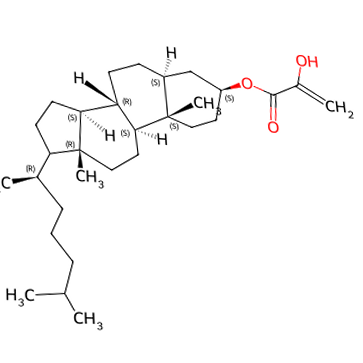 C=C(O)C(=O)O[C@H]1CC[C@@]2(C)[C@@H](CC[C@@H]3[C@@H]2CC[C@]2(C)C([C@H](C)CCCC(C)C)CC[C@@H]32)C1